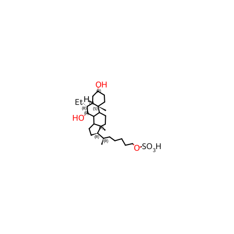 CC[C@H]1[C@@H](O)C2C3CC[C@H]([C@H](C)CCCCCOS(=O)(=O)O)[C@@]3(C)CCC2[C@@]2(C)CC[C@@H](O)C[C@@H]12